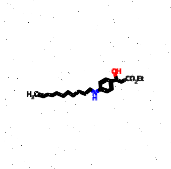 C=CCCCCCCCCCNc1ccc(C(O)CC(=O)OCC)cc1